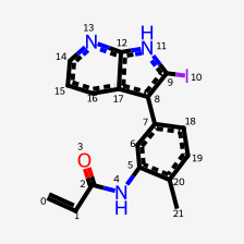 C=CC(=O)Nc1cc(-c2c(I)[nH]c3ncccc23)ccc1C